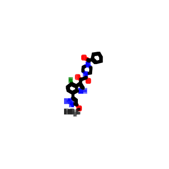 CCOC(=O)Oc1cc(-c2ccc(F)c3c(C(=O)C(=O)N4CCN(C(=O)c5ccccc5)CC4)c[nH]c23)[nH]n1